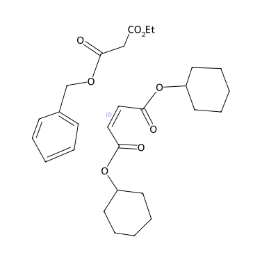 CCOC(=O)CC(=O)OCc1ccccc1.O=C(/C=C\C(=O)OC1CCCCC1)OC1CCCCC1